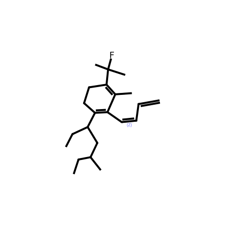 C=C/C=C\C1=C(C(CC)CC(C)CC)CCC(C(C)(C)F)=C1C